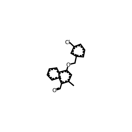 Cc1cc(OCc2cccc(Cl)c2)c2ccccc2c1C=O